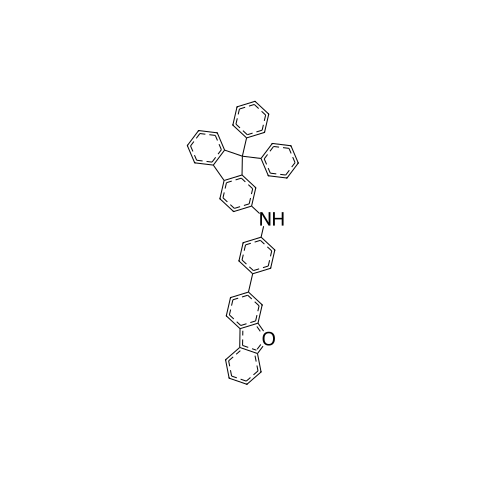 c1ccc(C2(c3ccccc3)c3ccccc3-c3ccc(Nc4ccc(-c5ccc6c(c5)oc5ccccc56)cc4)cc32)cc1